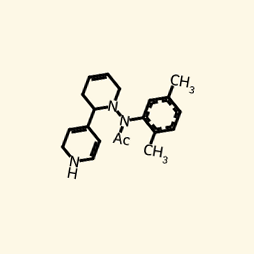 CC(=O)N(c1cc(C)ccc1C)N1CC=CCC1C1=CCNC=C1